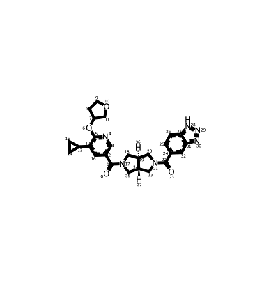 O=C(c1cnc(OC2CCOC2)c(C2CC2)c1)N1C[C@H]2CN(C(=O)c3ccc4[nH]nnc4c3)C[C@@H]2C1